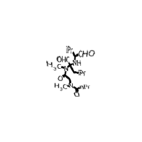 CCCC(=O)N(C)CC(=O)N(C)C(C=O)(CC(C)C)NC(C=O)C(C)C